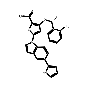 C[C@@H](Oc1cc(-n2cnc3cc(-c4ccc[nH]4)ccc32)sc1C(N)=O)c1ccccc1C(F)(F)F